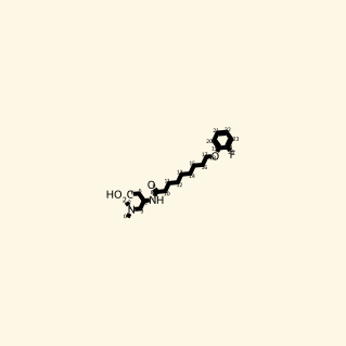 CN(C)CC(CC(=O)O)NC(=O)CCCCCCCCOc1ccccc1F